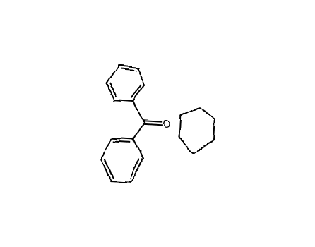 C1CCCCC1.O=C(c1ccccc1)c1ccccc1